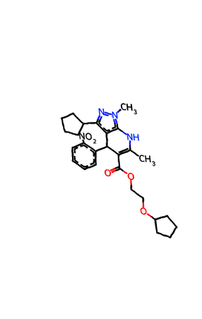 CC1=C(C(=O)OCCOC2CCCC2)C(c2ccccc2[N+](=O)[O-])c2c(C3CCCC3)nn(C)c2N1